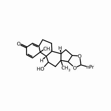 CCCC1OC2C[C@H]3C4CCC5=CC(=O)C=CC5(C)[C@H]4C(O)CC3(C)C2O1